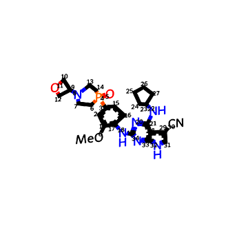 COc1cc(P2(=O)CCN(C3COC3)CC2)ccc1Nc1nc(NC2CCCC2)c2c(C#N)c[nH]c2n1